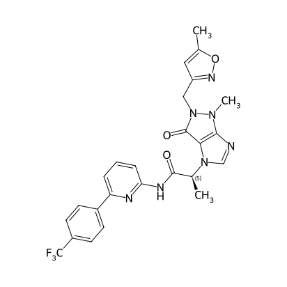 Cc1cc(Cn2c(=O)c3c(ncn3[C@@H](C)C(=O)Nc3cccc(-c4ccc(C(F)(F)F)cc4)n3)n2C)no1